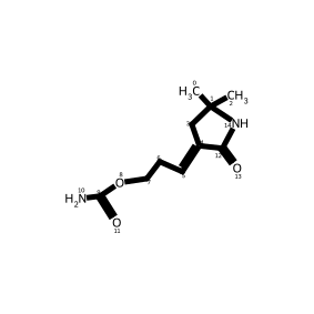 CC1(C)CC(=CCCOC(N)=O)C(=O)N1